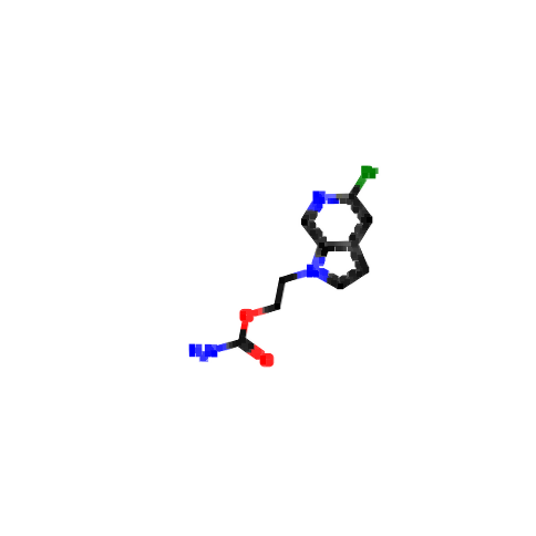 NC(=O)OCCn1ccc2cc(Br)ncc21